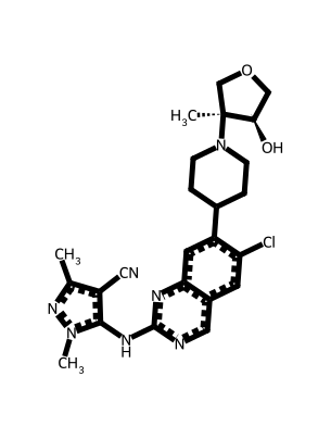 Cc1nn(C)c(Nc2ncc3cc(Cl)c(C4CCN([C@@]5(C)COC[C@H]5O)CC4)cc3n2)c1C#N